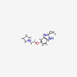 Cc1nc2cc(OCCN3CCCC3)ccc2[nH]1